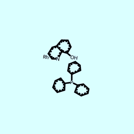 Oc1cccc2cccnc12.[Rh].c1ccc(P(c2ccccc2)c2ccccc2)cc1